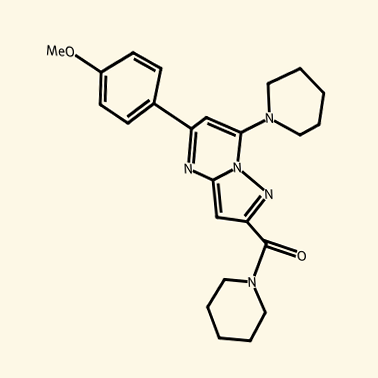 COc1ccc(-c2cc(N3CCCCC3)n3nc(C(=O)N4CCCCC4)cc3n2)cc1